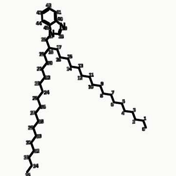 CCCCCCCCCCCCCCCCCCC(CCCCCCCCCCCCCCCCC)Cn1cnc2ccccc21